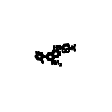 Cc1ccncc1-c1cc(N)c2cnc(NC(=O)/C=C\C(=O)N(C)C)cc2c1